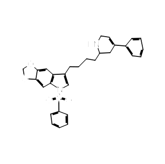 O=S(=O)(c1ccccc1)n1cc(CCCCC2CC(c3ccccc3)=CCN2)c2cc3c(cc21)OCO3